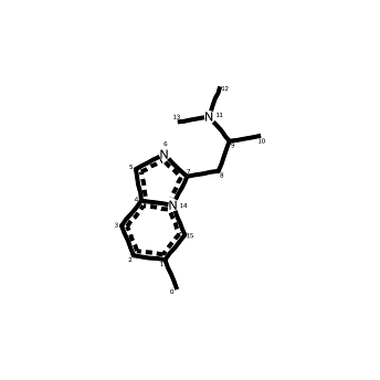 Cc1ccc2cnc(CC(C)N(C)C)n2c1